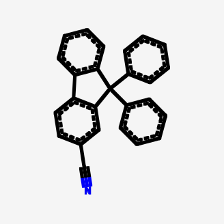 N#Cc1ccc2c(c1)C(c1ccccc1)(c1ccccc1)c1ccccc1-2